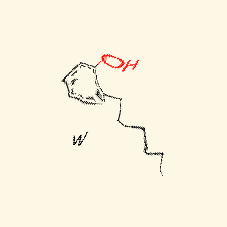 CCCCCCc1ccccc1O.[W]